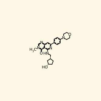 Cn1cnc2cc(-c3ccc(N4CCOCC4)cc3)nc(NC[C@H]3CC[C@H](O)C3)c2c1=O